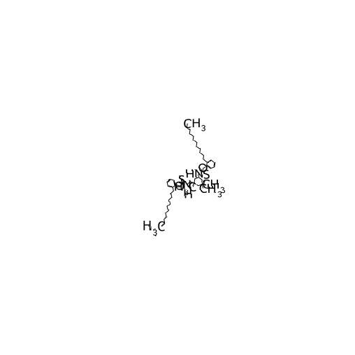 CCCCCCCCCCCCc1ccccc1OC(=S)NCC1(C)CC(NC(=S)Oc2ccccc2CCCCCCCCCCCC)CC(C)(C)C1